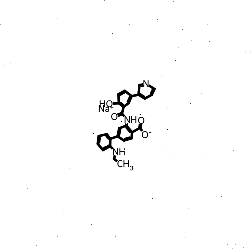 CCNc1ccccc1-c1ccc(C(=O)[O-])c(NC(=O)c2cc(-c3cccnc3)ccc2O)c1.[Na+]